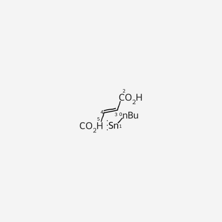 CCC[CH2][Sn].O=C(O)C=CC(=O)O